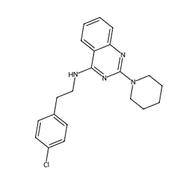 Clc1ccc(CCNc2nc(N3CCCCC3)nc3ccccc23)cc1